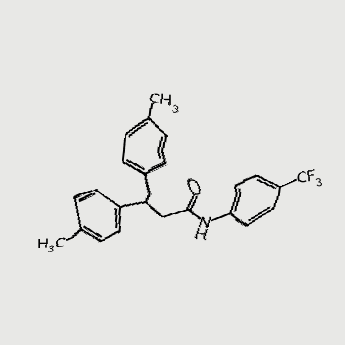 Cc1ccc(C(CC(=O)Nc2ccc(C(F)(F)F)cc2)c2ccc(C)cc2)cc1